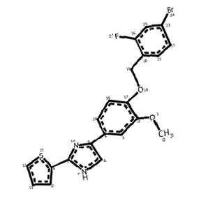 COc1cc(-c2c[nH]c(-c3cccs3)n2)ccc1OCc1ccc(Br)cc1F